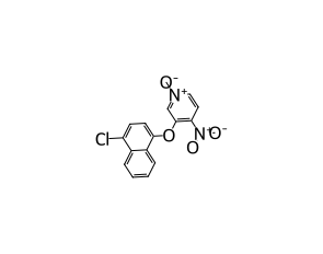 O=[N+]([O-])c1cc[n+]([O-])cc1Oc1ccc(Cl)c2ccccc12